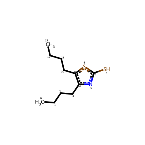 CCCCc1nc(S)sc1CCCC